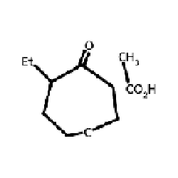 CC(=O)O.CCC1CCCCCC1=O